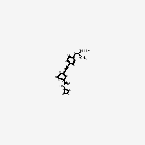 CC(=O)NC(C)Cc1ccc(C#Cc2cccc(C(=O)NC3CCC3)c2)cc1